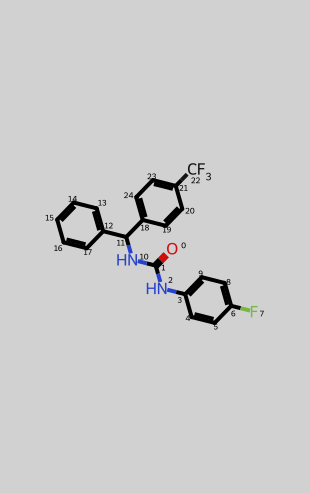 O=C(Nc1ccc(F)cc1)NC(c1ccccc1)c1ccc(C(F)(F)F)cc1